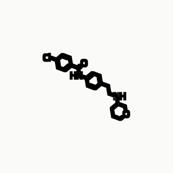 O=C(Nc1ccc(CCNC2CCCOC2)cc1)c1ccc(Cl)cc1